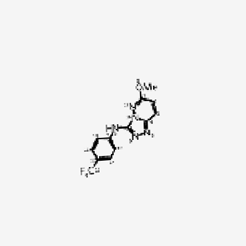 COc1ccc2nnc(Nc3ccc(C(F)(F)F)cc3)n2n1